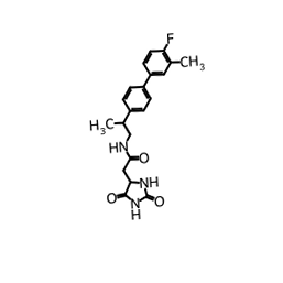 Cc1cc(-c2ccc(C(C)CNC(=O)CC3NC(=O)NC3=O)cc2)ccc1F